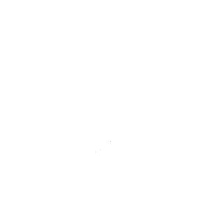 CCCCCCCCCCCCCCCCC(C)(CC)O[SiH3]